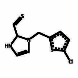 S=CC1NC=CN1Cc1ccc(Cl)s1